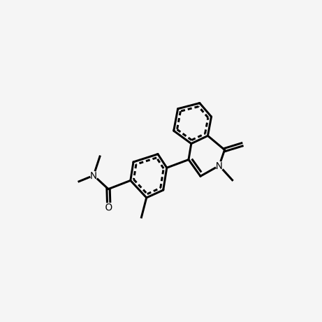 C=C1c2ccccc2C(c2ccc(C(=O)N(C)C)c(C)c2)=CN1C